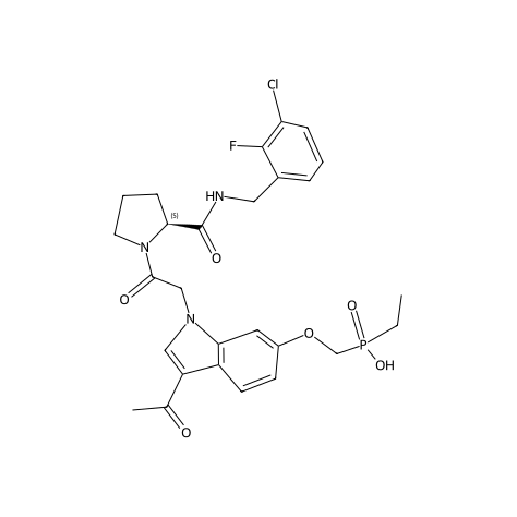 CCP(=O)(O)COc1ccc2c(C(C)=O)cn(CC(=O)N3CCC[C@H]3C(=O)NCc3cccc(Cl)c3F)c2c1